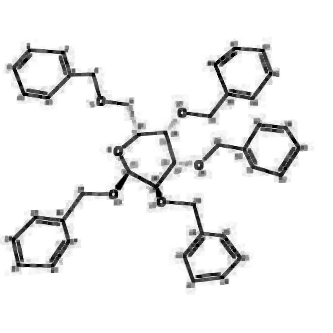 c1ccc(COC[C@H]2O[C@H](OCc3ccccc3)[C@H](OCc3ccccc3)[C@@H](OCc3ccccc3)[C@H]2OCc2ccccc2)cc1